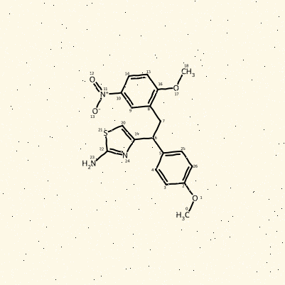 COc1ccc(C(Cc2cc([N+](=O)[O-])ccc2OC)c2csc(N)n2)cc1